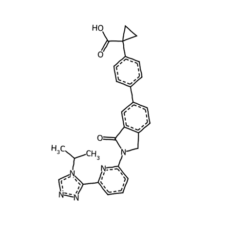 CC(C)n1cnnc1-c1cccc(N2Cc3ccc(-c4ccc(C5(C(=O)O)CC5)cc4)cc3C2=O)n1